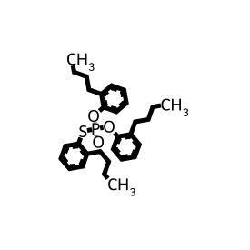 CCCCc1ccccc1OP(=O)(Oc1ccccc1CCCC)Sc1ccccc1CCCC